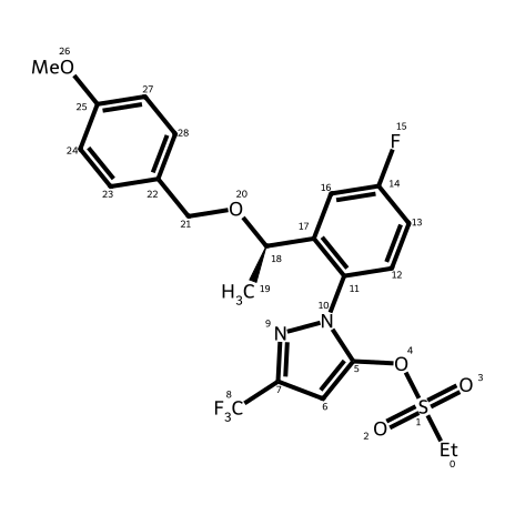 CCS(=O)(=O)Oc1cc(C(F)(F)F)nn1-c1ccc(F)cc1[C@@H](C)OCc1ccc(OC)cc1